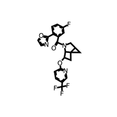 O=C(c1cc(F)ccc1-c1ncco1)N1CC2CC23CC(Oc2ccc(C(F)(F)F)cn2)C13